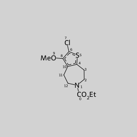 CCOC(=O)N1CCc2sc(Cl)c(OC)c2CC1